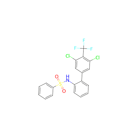 O=S(=O)(Nc1ccccc1-c1cc(Cl)c(C(F)(F)F)c(Cl)c1)c1ccccc1